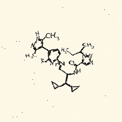 CCC(C)n1nncc1C(=O)N[C@H](CNc1ccc(-c2c(C)n[nH]c2C)c(F)n1)C(C1CC1)C1CC1